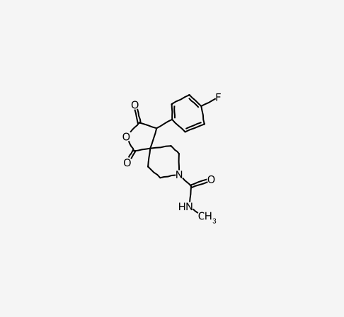 CNC(=O)N1CCC2(CC1)C(=O)OC(=O)C2c1ccc(F)cc1